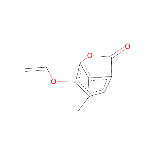 C=COc1c(C)cc2c(C)c1OC2=O